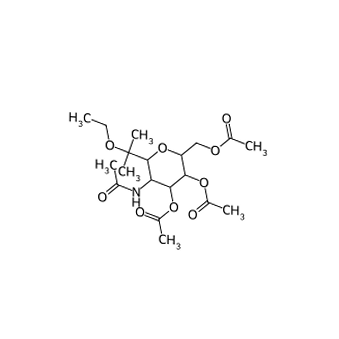 CCOC(C)(C)C1OC(COC(C)=O)C(OC(C)=O)C(OC(C)=O)C1NC(C)=O